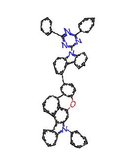 c1ccc(-c2nc(-c3ccccc3)nc(-n3c4ccccc4c4c(-c5ccc6c(c5)-c5cccc7c5c(cc5c7c7ccccc7n5-c5ccccc5)O6)cccc43)n2)cc1